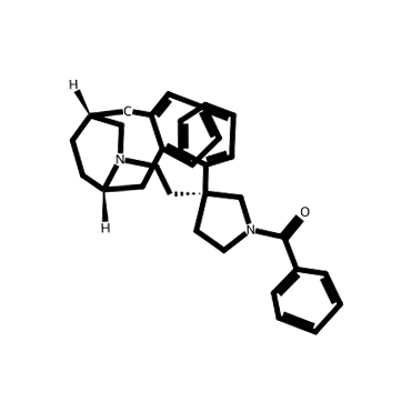 O=C(c1ccccc1)N1CC[C@@](CCN2C[C@@H]3CC[C@H]2Cc2ccccc2C3)(c2ccccc2)C1